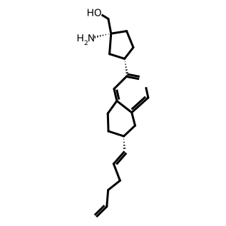 C=CCC/C=C/[C@@H]1CCC(=C/C(=C)[C@H]2CC[C@](N)(CO)C2)/C(=C\C)C1